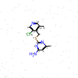 Cc1cc(N)nc(SCc2c(C)cncc2Cl)n1